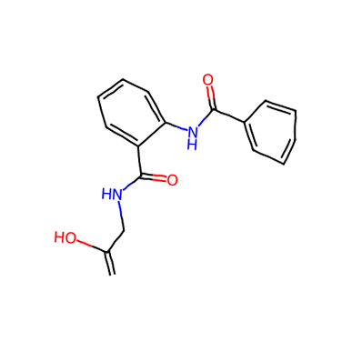 C=C(O)CNC(=O)c1ccccc1NC(=O)c1ccccc1